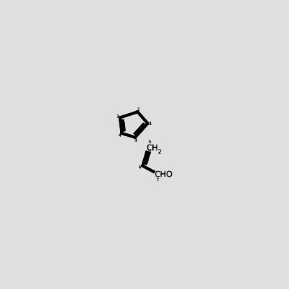 C1=CCC=C1.C=CC=O